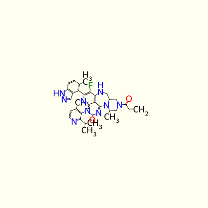 C=CC(=O)N1CC(C)N2c3nc(=O)n(-c4c(C)ccnc4C(C)C)c4nc(-c5c(C)ccc6[nH]ncc56)c(F)c(c34)NCC2C1